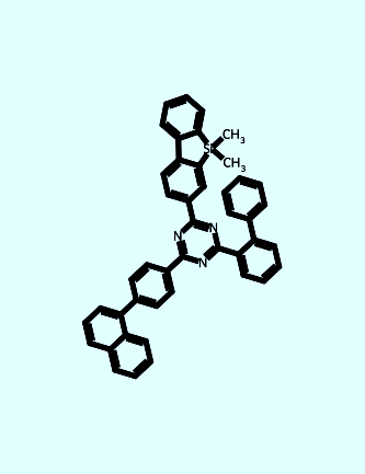 C[Si]1(C)c2ccccc2-c2ccc(-c3nc(-c4ccc(-c5cccc6ccccc56)cc4)nc(-c4ccccc4-c4ccccc4)n3)cc21